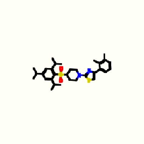 Cc1cccc(-c2csc(N3CCC(S(=O)(=O)c4c(C(C)C)cc(C(C)C)cc4C(C)C)CC3)n2)c1C